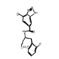 O=C(O)CC(Cc1ccccc1Cl)NC(=O)c1cc(Cl)c2nn[nH]c2c1